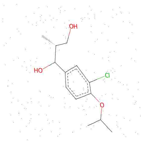 CC(C)Oc1ccc(C(O)[C@H](C)CO)cc1Cl